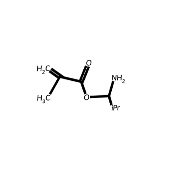 C=C(C)C(=O)OC(N)C(C)C